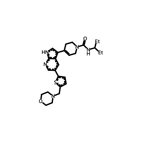 CCC(CC)NC(=O)N1CC=C(c2c[nH]c3ncc(-c4ccc(CN5CCOCC5)s4)cc23)CC1